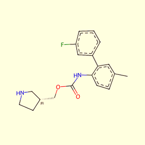 Cc1ccc(NC(=O)OC[C@@H]2CCNC2)c(-c2cccc(F)c2)c1